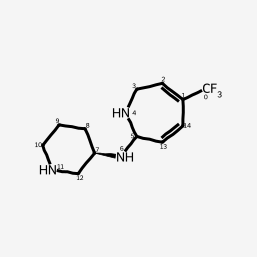 FC(F)(F)C1=CCNC(N[C@@H]2CCCNC2)C=C1